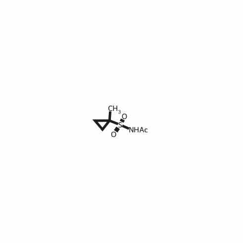 CC(=O)NS(=O)(=O)C1(C)CC1